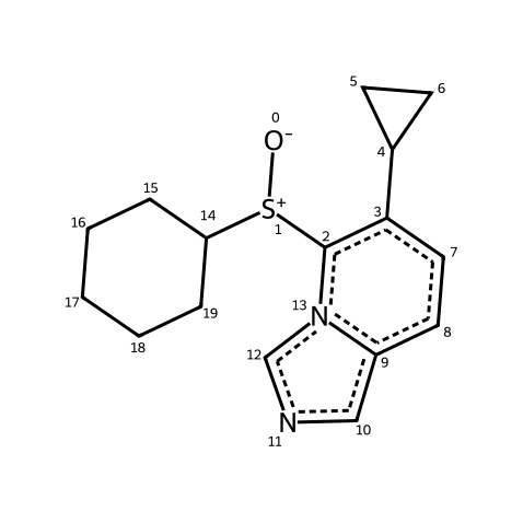 [O-][S+](c1c(C2CC2)ccc2cncn12)C1CCCCC1